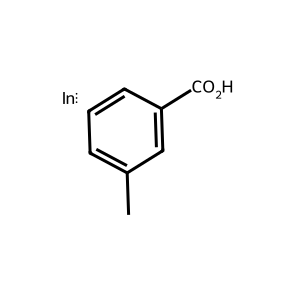 Cc1cccc(C(=O)O)c1.[In]